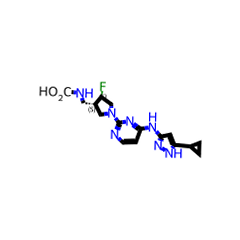 O=C(O)NC[C@H]1CN(c2nccc(Nc3cc(C4CC4)[nH]n3)n2)C[C@H]1F